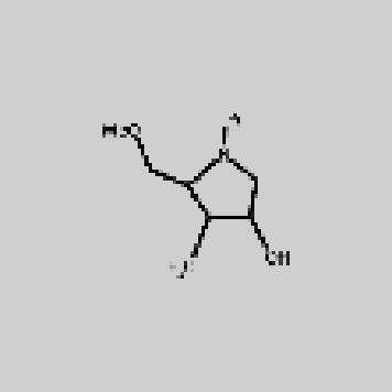 COCC1C(C(F)(F)F)C(O)CN1C(C)C